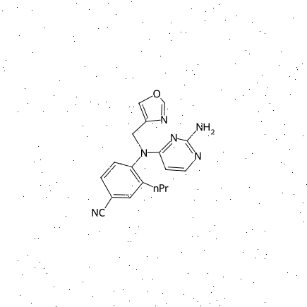 CCCc1cc(C#N)ccc1N(Cc1cocn1)c1ccnc(N)n1